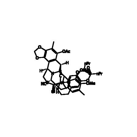 CCCC(=O)Oc1cc2c(cc1OC)[C@@]1(CS[C@@H]3c4c(OC(C)=O)c(C)c5c(c4[C@H](COC1=O)N1C3C3c4c(cc(C)c(OC)c4OC(=O)CCC)C[C@@H]([C@@H]1C#N)N3C)OCO5)NCC2